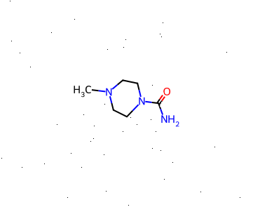 CN1CCN(C(N)=O)CC1